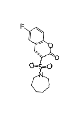 O=c1oc2ccc(F)cc2cc1S(=O)(=O)N1CCCCCC1